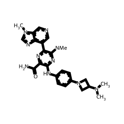 CNc1nc(Nc2ccc(N3CC(N(C)C)C3)cc2)c(C(N)=O)nc1-c1cncc2c1ncn2C